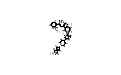 C[C@@H]1c2c([nH]c3nnc(-c4ccccc4O)cc23)CCN1c1ncc(C2CCN(C3CC4(CNC4)C3)CC2)s1